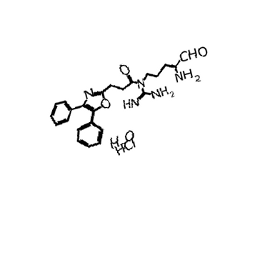 Cl.N=C(N)N(CCC[C@H](N)C=O)C(=O)CCc1nc(-c2ccccc2)c(-c2ccccc2)o1.O